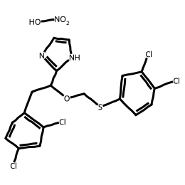 Clc1ccc(CC(OCSc2ccc(Cl)c(Cl)c2)c2ncc[nH]2)c(Cl)c1.O=[N+]([O-])O